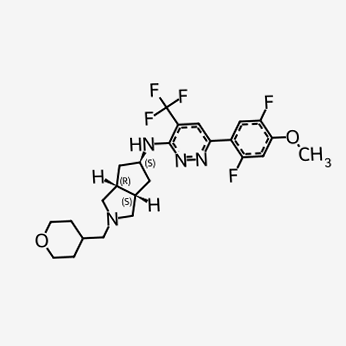 COc1cc(F)c(-c2cc(C(F)(F)F)c(N[C@H]3C[C@@H]4CN(CC5CCOCC5)C[C@@H]4C3)nn2)cc1F